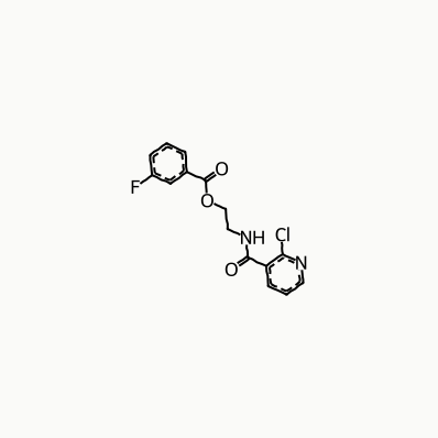 O=C(OCCNC(=O)c1cccnc1Cl)c1cccc(F)c1